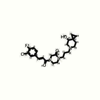 O=C(C=Cc1ccc(F)c(Cl)c1)N1CCN(CCCN2CCC3(CC3)C(O)C2)C(=O)C1